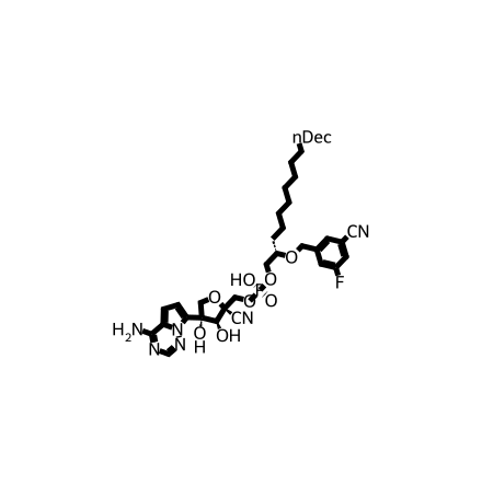 CCCCCCCCCCCCCCCCCC[C@@H](COP(=O)(O)OC[C@@]1(C#N)OC[C@](O)(c2ccc3c(N)ncnn23)[C@@H]1O)OCc1cc(F)cc(C#N)c1